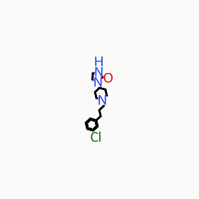 O=C1NCCN1C1CCN(CCCc2cccc(Cl)c2)CC1